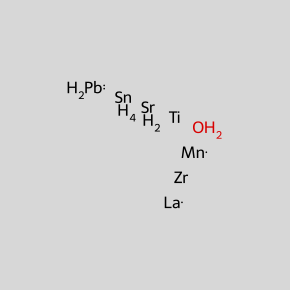 O.[La].[Mn].[PbH2].[SnH4].[SrH2].[Ti].[Zr]